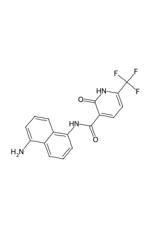 Nc1cccc2c(NC(=O)c3ccc(C(F)(F)F)[nH]c3=O)cccc12